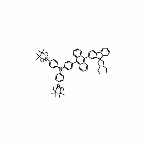 CCCCC1(CCCC)c2ccccc2-c2ccc(-c3c4ccccc4c(-c4ccc(N(c5ccc(B6OC(C)(C)C(C)(C)O6)cc5)c5ccc(B6OC(C)(C)C(C)(C)O6)cc5)cc4)c4ccccc34)cc21